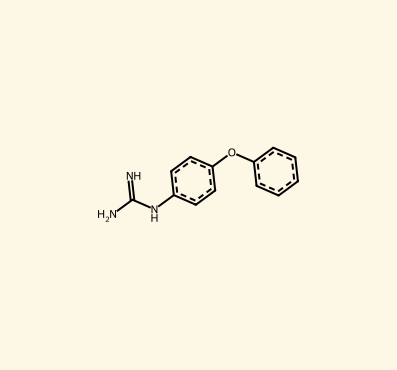 N=C(N)Nc1ccc(Oc2ccccc2)cc1